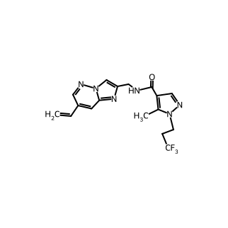 C=Cc1cnn2cc(CNC(=O)c3cnn(CCC(F)(F)F)c3C)nc2c1